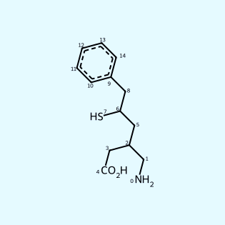 NCC(CC(=O)O)CC(S)Cc1ccccc1